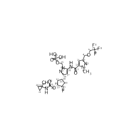 Cn1nc(COCC(F)(F)F)cc1C(=O)Nc1cc([C@@H]2C[C@H](F)[C@H](OC(=O)NC3(C)CC3)C2)nn1COP(=O)(O)O